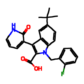 CC(C)(C)c1ccc2c(c1)c(-c1ccc[nH]c1=O)c(C(=O)O)n2Cc1ccccc1F